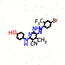 Cc1c(C#N)c(Nc2ccc(O)cc2)nc(N)c1/N=N/c1ccc(Br)cc1C(F)(F)F